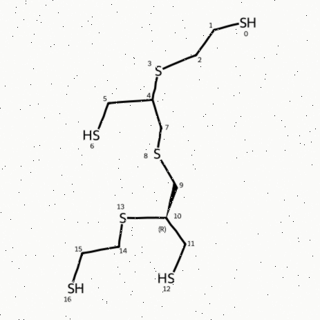 SCCSC(CS)CSC[C@@H](CS)SCCS